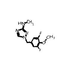 CNc1ncn(Cc2cc(F)c(OC)c(F)c2)n1